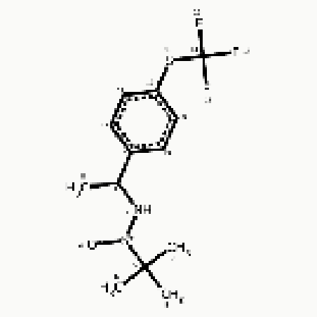 C[C@H](N[S+]([O-])C(C)(C)C)c1ccc(SC(F)(F)F)cc1